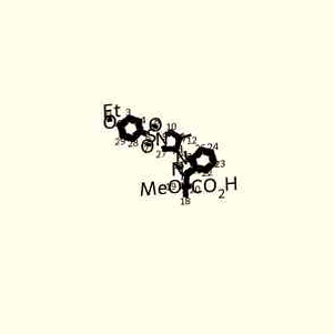 CCOc1ccc(S(=O)(=O)N2C[C@@H](C)[C@@H](n3nc(C(C)(OC)C(=O)O)c4ccccc43)C2)cc1